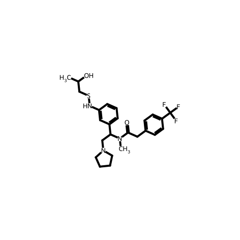 CC(O)CSNc1cccc(C(CN2CCCC2)N(C)C(=O)Cc2ccc(C(F)(F)F)cc2)c1